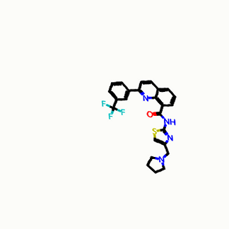 O=C(Nc1nc(CN2CCCC2)cs1)c1cccc2ccc(-c3cccc(C(F)(F)F)c3)nc12